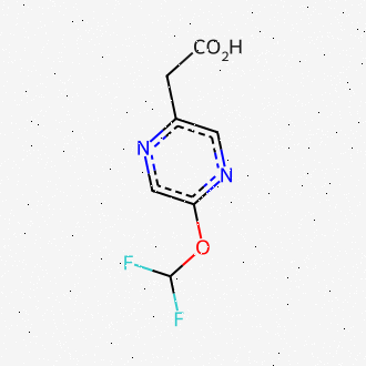 O=C(O)Cc1cnc(OC(F)F)cn1